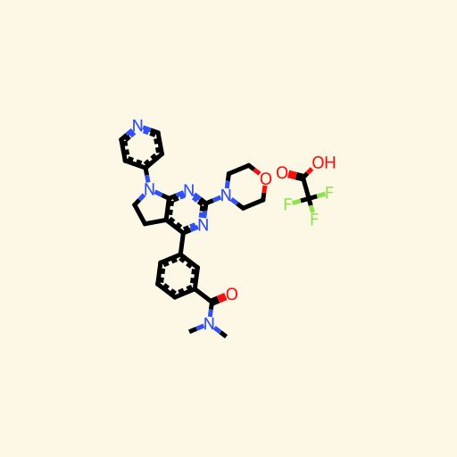 CN(C)C(=O)c1cccc(-c2nc(N3CCOCC3)nc3c2CCN3c2ccncc2)c1.O=C(O)C(F)(F)F